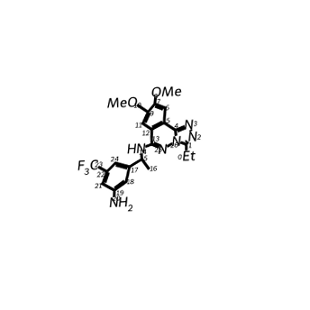 CCc1nnc2c3cc(OC)c(OC)cc3c(NC(C)c3cc(N)cc(C(F)(F)F)c3)nn12